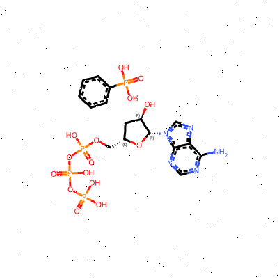 Nc1ncnc2c1ncn2[C@@H]1O[C@H](COP(=O)(O)OP(=O)(O)OP(=O)(O)O)C[C@H]1O.O=P(O)(O)c1ccccc1